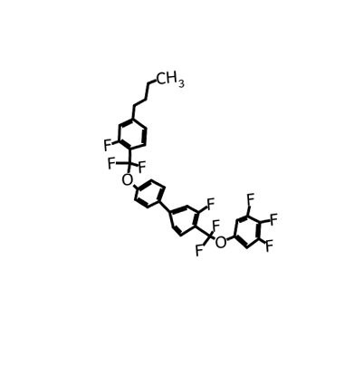 CCCCc1ccc(C(F)(F)Oc2ccc(-c3ccc(C(F)(F)Oc4cc(F)c(F)c(F)c4)c(F)c3)cc2)c(F)c1